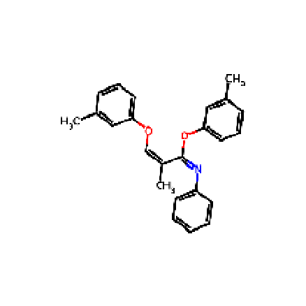 CC(=COc1cccc(C)c1)/C(=N\c1ccccc1)Oc1cccc(C)c1